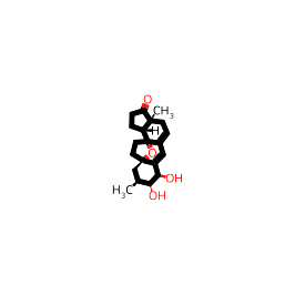 C[C@H]1C[C@@]23CCC4(O2)C(=CC[C@]2(C)C(=O)CC[C@@H]42)C=C3[C@@H](O)[C@@H]1O